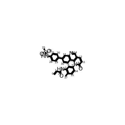 C=CC(=O)Nc1cc(-n2c(=O)ccc3cnc4cc(-c5ccc(NS(C)(=O)=O)cc5)ccc4c32)ccc1C